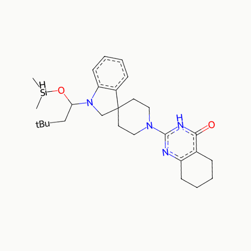 C[SiH](C)OC(CC(C)(C)C)N1CC2(CCN(c3nc4c(c(=O)[nH]3)CCCC4)CC2)c2ccccc21